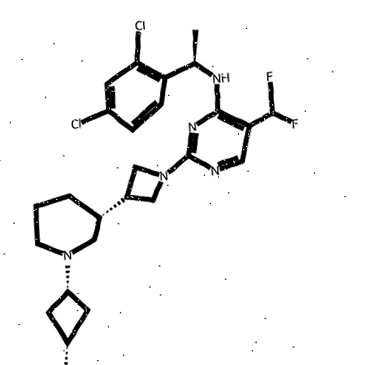 C[C@@H](Nc1nc(N2CC([C@H]3CCCN([C@H]4C[C@@H](C)C4)C3)C2)ncc1C(F)F)c1ccc(Cl)cc1Cl